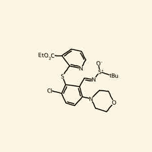 CCOC(=O)c1cccnc1Sc1c(Cl)ccc(N2CCOCC2)c1C=N[S+]([O-])C(C)(C)C